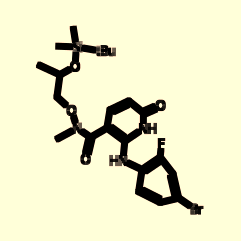 CC(CON(C)C(=O)c1ccc(=O)[nH]c1Nc1ccc(Br)cc1F)O[Si](C)(C)C(C)(C)C